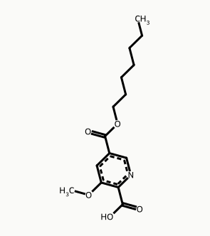 CCCCCCCOC(=O)c1cnc(C(=O)O)c(OC)c1